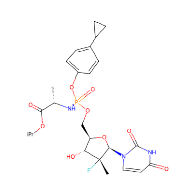 CC(C)OC(=O)[C@H](C)N[P@@](=O)(OC[C@H]1O[C@@H](n2ccc(=O)[nH]c2=O)[C@](C)(F)[C@@H]1O)Oc1ccc(C2CC2)cc1